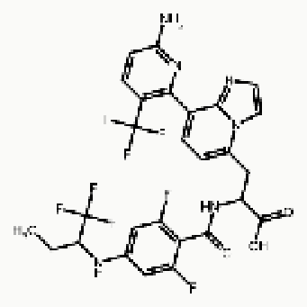 CCC(Nc1cc(F)c(C(=O)NC(Cc2ccc(-c3nc(N)ccc3C(F)(F)F)c3nccn23)C(=O)O)c(F)c1)C(F)(F)F